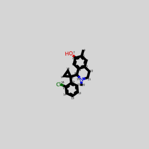 Cc1cc2c(cc1O)C(C1(c3ccccc3Cl)CC1)N(C)CC2